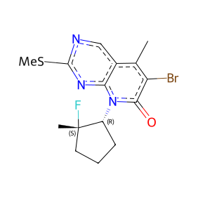 CSc1ncc2c(C)c(Br)c(=O)n([C@@H]3CCC[C@]3(C)F)c2n1